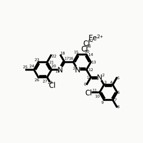 CC(=Nc1c(C)cc(C)cc1Cl)c1cccc(C(C)=Nc2c(C)cc(C)cc2Cl)n1.[Cl-].[Cl-].[Fe+2]